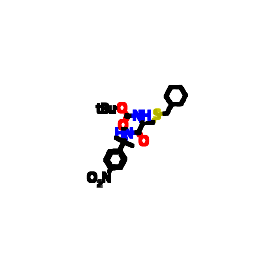 CC(C)(C)OC(=O)N[C@@H](CSCC1CCCCC1)C(=O)NC(C)(C)c1ccc([N+](=O)[O-])cc1